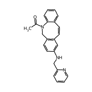 CC(=O)N1Cc2ccc(NCc3ccccn3)cc2C=Cc2ccccc21